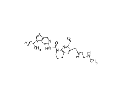 CNCCNCc1cc2c(nc1C=O)N(C(=O)Nc1cc3c(cn1)ncn3C(C)C)CCC2